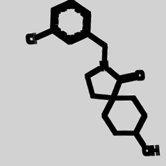 O=C1N(Cc2cccc(Cl)c2)CCC12CCC(O)CC2